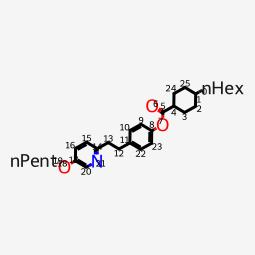 CCCCCCC1CCC(C(=O)Oc2ccc(CCc3ccc(OCCCCC)cn3)cc2)CC1